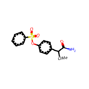 COC(C(N)=O)c1ccc(OS(=O)(=O)c2ccccc2)cc1